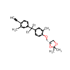 C#Cc1ccc(C(CC)(CC)c2ccc(OC[C@@H]3COC(C)(C)O3)c(C)c2)cc1C